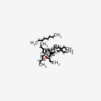 CCCCCCCC.CCCCP(C)(CCCC)(CCCC)OP(=O)(O)OP(C)(CCCC)(CCCC)CCCC